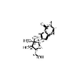 C[C@]1(O)[C@H](O)[C@@H](CO)O[C@H]1c1cc2nc[nH]c(=O)n2c1